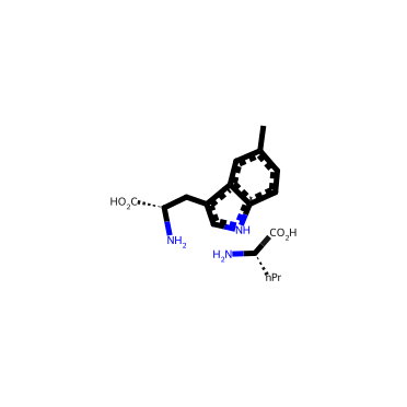 CCC[C@H](N)C(=O)O.Cc1ccc2[nH]cc(C[C@H](N)C(=O)O)c2c1